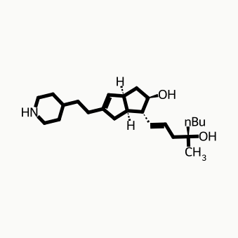 CCCC[C@](C)(O)C/C=C/[C@@H]1[C@H]2CC(CCC3CCNCC3)=C[C@H]2C[C@H]1O